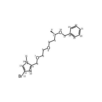 C[C@H](CCOCCOCc1nc(Br)cn1C)OCc1ccccc1